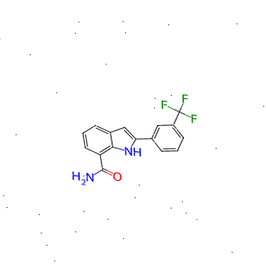 NC(=O)c1cccc2cc(-c3cccc(C(F)(F)F)c3)[nH]c12